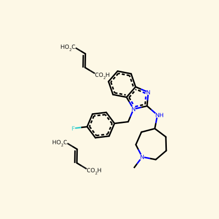 CN1CCCC(Nc2nc3ccccc3n2Cc2ccc(F)cc2)CC1.O=C(O)C=CC(=O)O.O=C(O)C=CC(=O)O